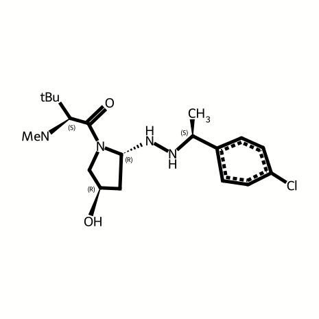 CN[C@H](C(=O)N1C[C@H](O)C[C@H]1NN[C@@H](C)c1ccc(Cl)cc1)C(C)(C)C